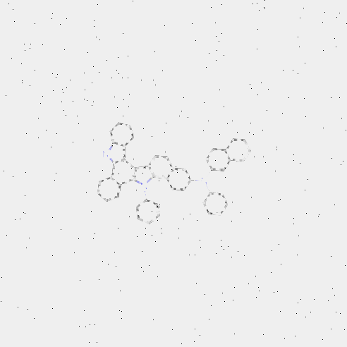 c1ccc(N(c2ccc3ccccc3c2)c2ccc3c(ccc4c5c6c7ccccc7[nH]c6c6ccccc6c5n(-c5ccccc5)c34)c2)cc1